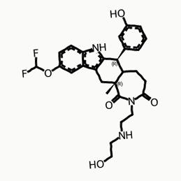 C[C@@]12Cc3c([nH]c4ccc(OC(F)F)cc34)[C@@H](c3cccc(O)c3)C1CCC(=O)N(CCNCCO)C2=O